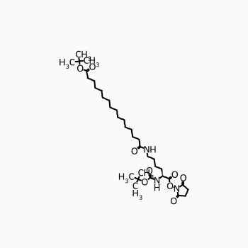 CC(C)(C)OC(=O)CCCCCCCCCCCCCCC(=O)NCCCC[C@H](NC(=O)OC(C)(C)C)C(=O)ON1C(=O)CCC1=O